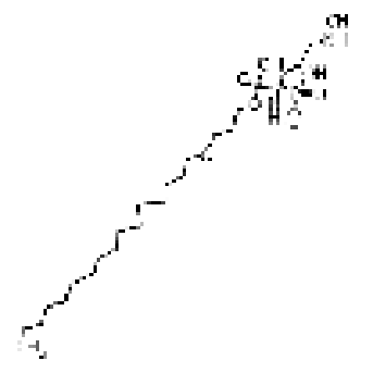 CCCCCCCCCCCCCCCCOCCCOP(=O)(O)C(N)(CCCNC)P(=O)(O)O